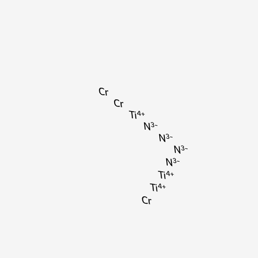 [Cr].[Cr].[Cr].[N-3].[N-3].[N-3].[N-3].[Ti+4].[Ti+4].[Ti+4]